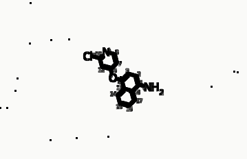 Nc1ccc(Oc2ccnc(Cl)c2)c2ccccc12